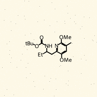 CCC(Cc1nc(OC)c(C)cc1OC)NC(=O)OC(C)(C)C